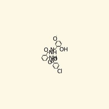 COc1ccc(O)c(C=NNC(=O)c2ccccc2NS(=O)(=O)c2ccc(Cl)cc2)c1